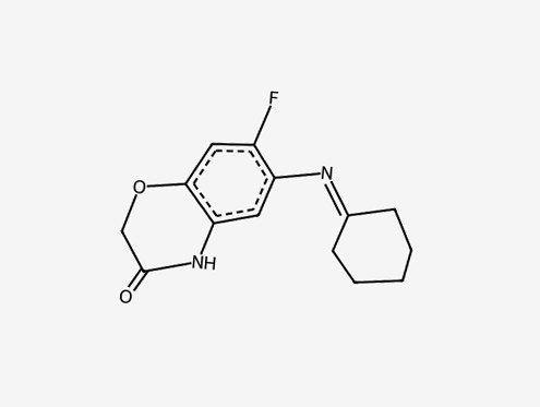 O=C1COc2cc(F)c(N=C3CCCCC3)cc2N1